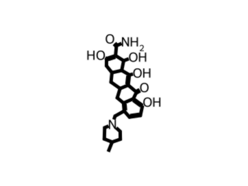 CC1CCN(Cc2ccc(O)c3c2CC2CC4CC(O)=C(C(N)=O)C(O)C4C(O)=C2C3=O)CC1